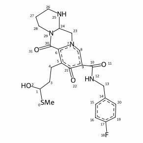 CSC(O)CCc1c2n(cc(C(=O)NCc3ccc(F)cc3)c1=O)CC1NCCCN1C2=O